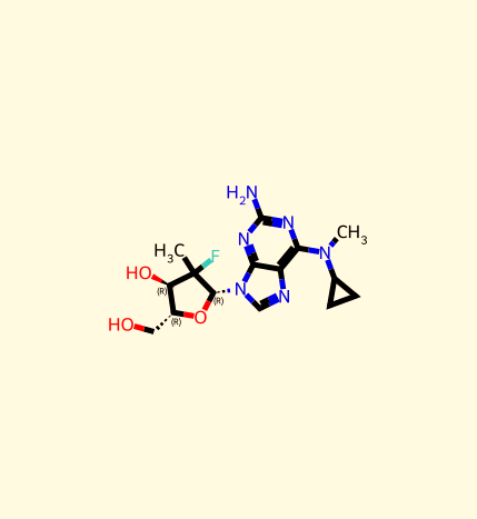 CN(c1nc(N)nc2c1ncn2[C@@H]1O[C@H](CO)[C@@H](O)C1(C)F)C1CC1